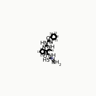 CC1=C(C(=O)N/C(S)=N/N)C2(CCCC2)N=C(Nc2nc3ccccc3o2)N1